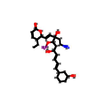 CCC1C=CC(=O)OC1C=CC(O)(CCN)C(CC(O)C=CC=CC1CCCC(O)C1)OP